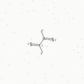 CC(=S)C(C)=S